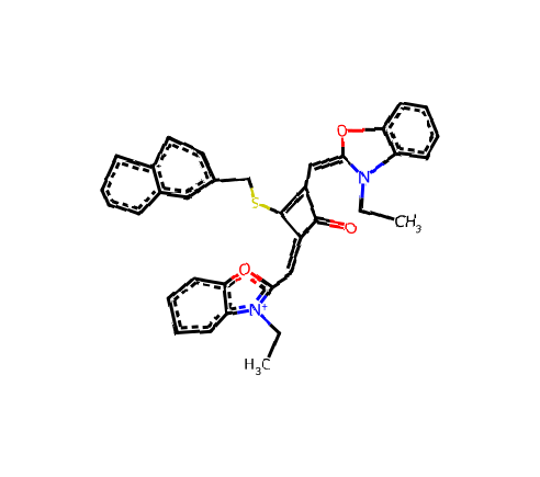 CCN1/C(=C\C2=C(SCc3ccc4ccccc4c3)C(=C\c3oc4ccccc4[n+]3CC)/C2=O)Oc2ccccc21